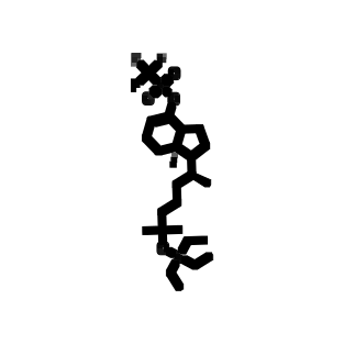 CC[Si](CC)(CC)OC(C)(C)CCC[C@H](C)C1CCC2C(OS(=O)(=O)C(F)(F)F)=CCC[C@@]21C